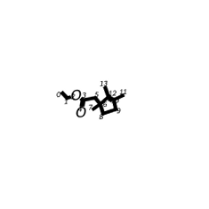 CCOC(=O)CC1(C)CCC(C)=C1C